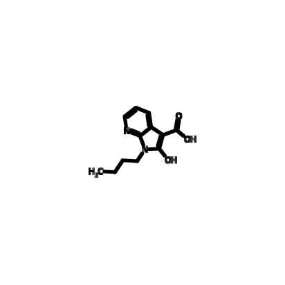 CCCCn1c(O)c(C(=O)O)c2cccnc21